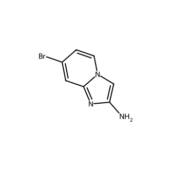 Nc1cn2ccc(Br)cc2n1